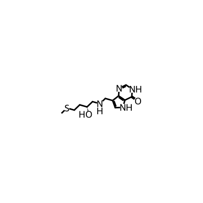 CSCC[C@@H](O)CNCc1c[nH]c2c(=O)[nH]cnc12